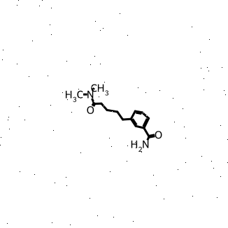 CN(C)C(=O)CCCCc1cccc(C(N)=O)c1